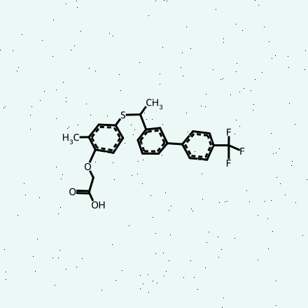 Cc1cc(SC(C)c2cccc(-c3ccc(C(F)(F)F)cc3)c2)ccc1OCC(=O)O